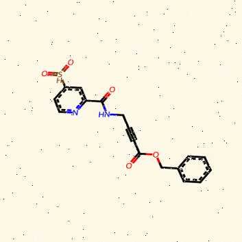 O=C(C#CCNC(=O)c1cc([SH](=O)=O)ccn1)OCc1ccccc1